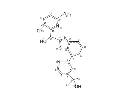 CC(C)(O)c1ccnc(-c2cccc3cc(C(O)c4nc(N)ccc4Cl)sc23)c1